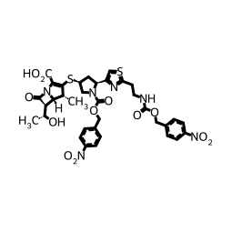 C[C@@H](O)[C@H]1C(=O)N2C(C(=O)O)=C(S[C@H]3C[C@@H](c4csc(CCNC(=O)OCc5ccc([N+](=O)[O-])cc5)n4)N(C(=O)OCc4ccc([N+](=O)[O-])cc4)C3)[C@H](C)[C@H]12